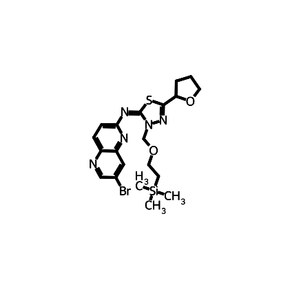 C[Si](C)(C)CCOCn1nc(C2CCCO2)sc1=Nc1ccc2ncc(Br)cc2n1